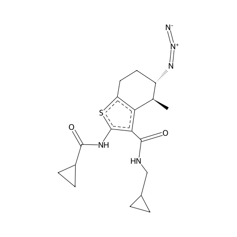 C[C@H]1c2c(sc(NC(=O)C3CC3)c2C(=O)NCC2CC2)CC[C@@H]1N=[N+]=[N-]